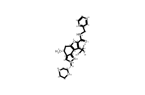 C[C@@H]1Cc2oc(C(=O)NCc3cnccn3)c(C(F)(F)F)c2-c2nn(C[C@H]3COCCO3)cc21